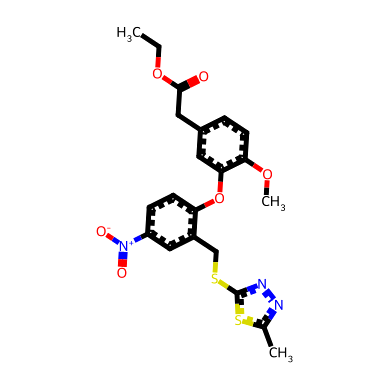 CCOC(=O)Cc1ccc(OC)c(Oc2ccc([N+](=O)[O-])cc2CSc2nnc(C)s2)c1